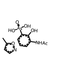 CC(=O)Nc1cccc([As](=O)(O)O)c1O.Cc1ccno1